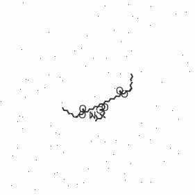 CCCCC/C=C\COC(=O)CCCCCCC(CCCCCCC(=O)OC/C=C\CCCCC)OC(=O)CC(C)(C)CC(C)CN(C)C